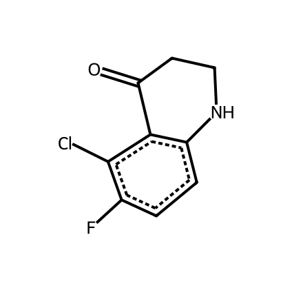 O=C1CCNc2ccc(F)c(Cl)c21